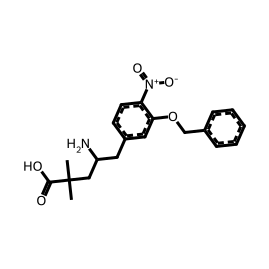 CC(C)(CC(N)Cc1ccc([N+](=O)[O-])c(OCc2ccccc2)c1)C(=O)O